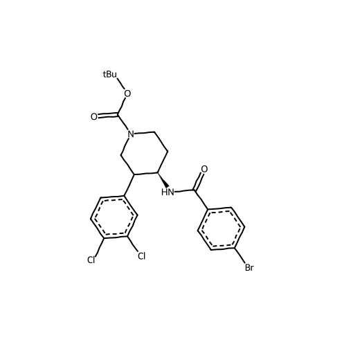 CC(C)(C)OC(=O)N1CC[C@@H](NC(=O)c2ccc(Br)cc2)C(c2ccc(Cl)c(Cl)c2)C1